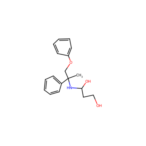 CC(COc1ccccc1)(NC(O)CCO)c1ccccc1